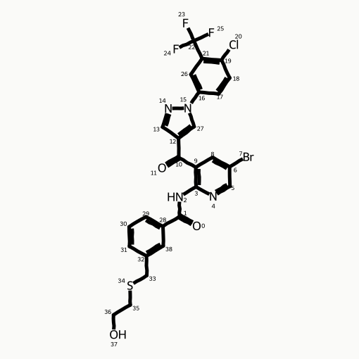 O=C(Nc1ncc(Br)cc1C(=O)c1cnn(-c2ccc(Cl)c(C(F)(F)F)c2)c1)c1cccc(CSCCO)c1